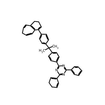 CC(C)(c1ccc(C2=CCCC3=C2C=CCC=C3)cc1)c1ccc(-c2nc(C3=CCCC=C3)nc(-c3ccccc3)n2)cc1